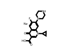 O=C(O)c1cn(C2CC2)c2cc(N3CCNCC3)c(F)cc2c1=O.[Na]